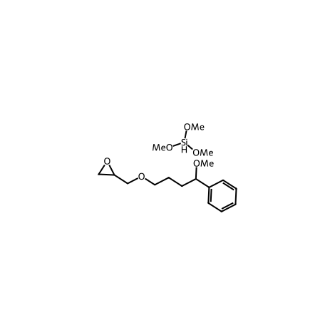 COC(CCCOCC1CO1)c1ccccc1.CO[SiH](OC)OC